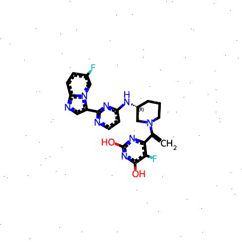 C=C(c1nc(O)nc(O)c1F)N1CCC[C@@H](Nc2ccnc(-c3cnc4ccc(F)cn34)n2)C1